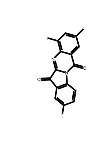 O=C1c2cc(I)ccc2-n2c1nc1c(I)cc(I)cc1c2=O